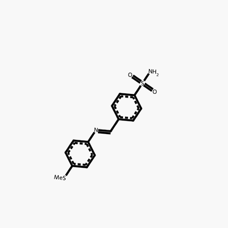 CSc1ccc(N=Cc2ccc(S(N)(=O)=O)cc2)cc1